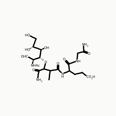 CC(=O)N[C@@H](C=O)[C@@H](OC(C(N)=O)C(C)C(=O)NC(CCC(=O)O)C(=O)NCC(N)=O)[C@H](O)[C@H](O)CO